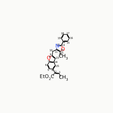 CC=C(C(=O)OCC)c1ccc2oc(Cc3nc(-c4ccccc4)oc3C)cc2c1